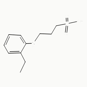 CCc1ccccc1NCCCS(=O)(=O)O